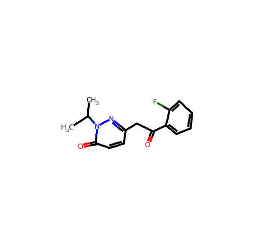 CC(C)n1nc(CC(=O)c2ccccc2F)ccc1=O